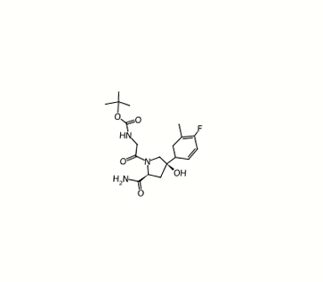 CC1=C(F)C=CC([C@]2(O)C[C@@H](C(N)=O)N(C(=O)CNC(=O)OC(C)(C)C)C2)C1